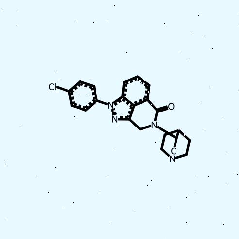 O=C1c2cccc3c2c(nn3-c2ccc(Cl)cc2)CN1C1CN2CCC1CC2